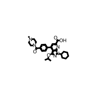 CC(C)Oc1nn(C2CCCCC2)c2nc(C(=O)O)cc(-c3ccc(C(=O)N4CCN(C)CC4)cc3)c12